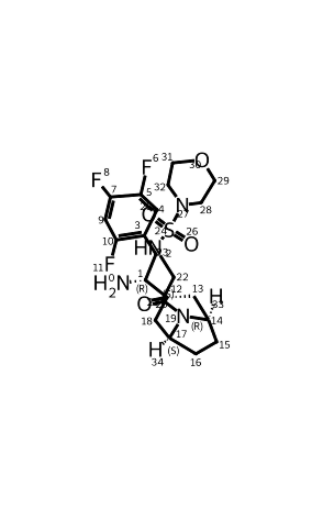 N[C@H](Cc1cc(F)c(F)cc1F)[C@@H]1C[C@H]2CC[C@@H](C1)N2C(=O)CNS(=O)(=O)N1CCOCC1